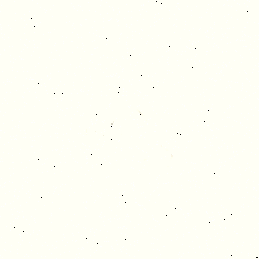 CCC=CC(O[Si](C)(C)C(C)(C)C)c1ccccc1